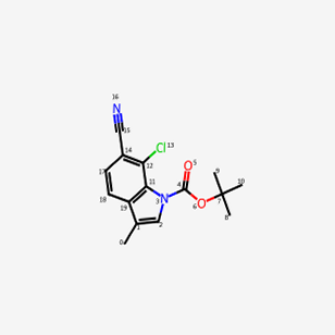 Cc1cn(C(=O)OC(C)(C)C)c2c(Cl)c(C#N)ccc12